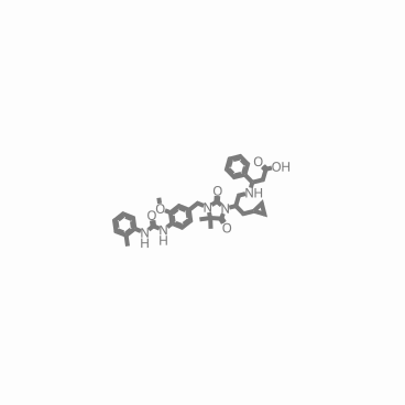 COc1cc(CN2C(=O)N(C(CNC(CC(=O)O)c3ccccc3)CC3CC3)C(=O)C2(C)C)ccc1NC(=O)Nc1ccccc1C